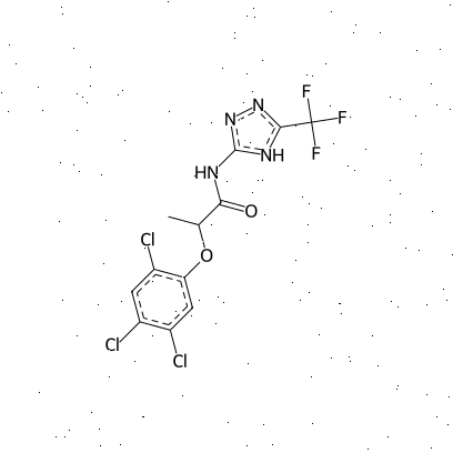 CC(Oc1cc(Cl)c(Cl)cc1Cl)C(=O)Nc1nnc(C(F)(F)F)[nH]1